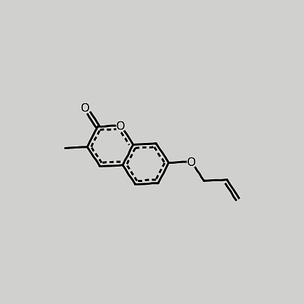 C=CCOc1ccc2cc(C)c(=O)oc2c1